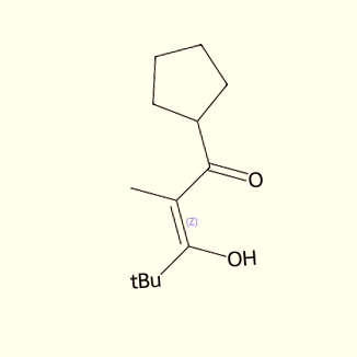 C/C(C(=O)C1CCCC1)=C(/O)C(C)(C)C